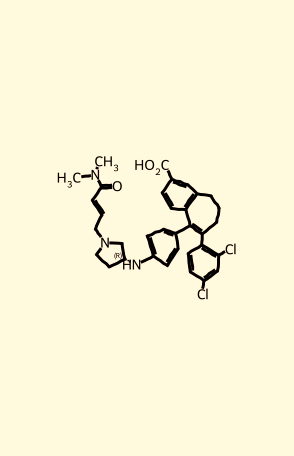 CN(C)C(=O)C=CCN1CC[C@@H](Nc2ccc(C3=C(c4ccc(Cl)cc4Cl)CCCc4cc(C(=O)O)ccc43)cc2)C1